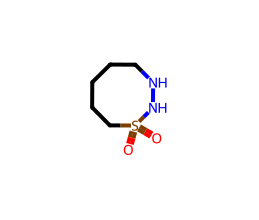 O=S1(=O)CCCCCNN1